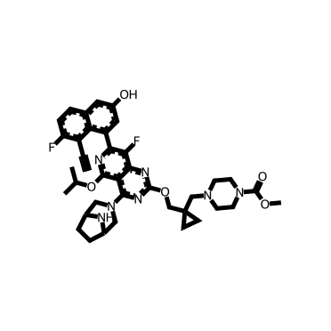 C#Cc1c(F)ccc2cc(O)cc(-c3nc(OC(C)C)c4c(N5CC6CCC(C5)N6)nc(OCC5(CN6CCN(C(=O)OC)CC6)CC5)nc4c3F)c12